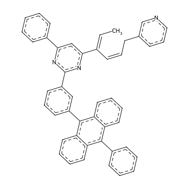 C/C=C(\C=C/Cc1cccnc1)c1cc(-c2ccccc2)nc(-c2cccc(-c3c4ccccc4c(-c4ccccc4)c4ccccc34)c2)n1